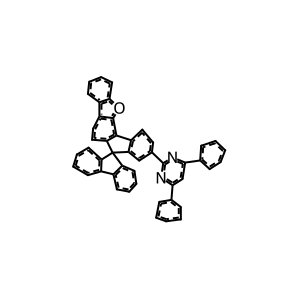 c1ccc(-c2cc(-c3ccccc3)nc(-c3ccc4c(c3)C3(c5ccccc5-c5ccccc53)c3ccc5c(oc6ccccc65)c3-4)n2)cc1